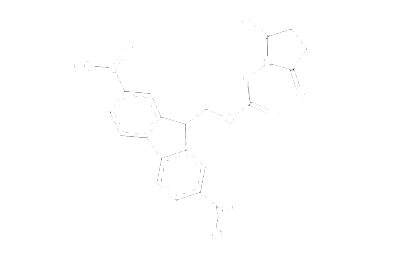 CCNc1ccc2c(c1)C(COC(=O)ON1C(=O)CCC1=O)c1cc(S(=O)O)ccc1-2